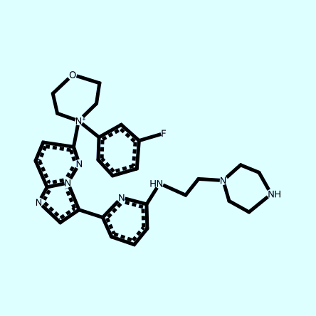 Fc1cccc([N+]2(c3ccc4ncc(-c5cccc(NCCN6CCNCC6)n5)n4n3)CCOCC2)c1